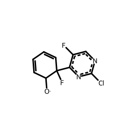 [O]C1C=CC=CC1(F)c1nc(Cl)ncc1F